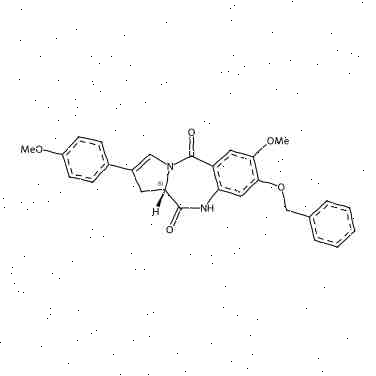 COc1ccc(C2=CN3C(=O)c4cc(OC)c(OCc5ccccc5)cc4NC(=O)[C@@H]3C2)cc1